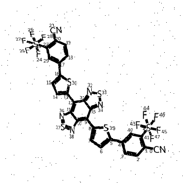 N#Cc1ccc(-c2ccc(-c3c4c(c(-c5ccc(-c6ccc(C#N)c(S(F)(F)(F)(F)F)c6)s5)c5nsnc35)N=S=N4)s2)cc1S(F)(F)(F)(F)F